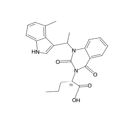 CCC[C@@H](C(=O)O)n1c(=O)c2ccccc2n(C(C)c2c[nH]c3cccc(C)c23)c1=O